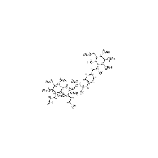 COCC(CO)[C@H](OC)C(OC)C(CN(Cc1ccc(CN(C[C@@H](OC)[C@H](OC)[C@@H](O[C@@H]2OC(CCO)[C@@H](OC)[C@@H](OC)C2OC)C(CCO)OC)C(C)=O)cc1)C(C)=O)OC